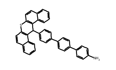 Nc1ccc(-c2ccc(-c3ccc(C4c5c(ccc6ccccc56)Sc5ccc6ccccc6c54)cc3)cc2)cc1